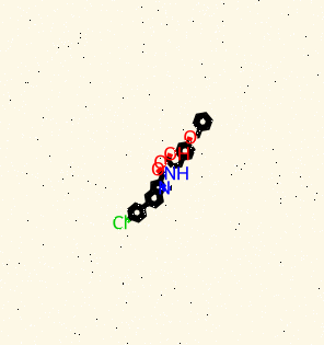 Cn1c(C(=O)NC(Cc2ccc(OCc3ccccc3)cc2)C(=O)O)cc2cc(-c3ccc(Cl)cc3)ccc21